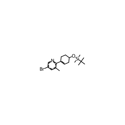 Cc1cc(Br)cnc1C1=CCC(O[Si](C)(C)C(C)(C)C)CC1